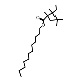 CCCCCCCCCCCCOC(=O)C(C)(CC(C)(C)C)C(C)(C)CC